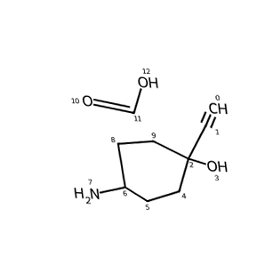 C#CC1(O)CCC(N)CC1.O=CO